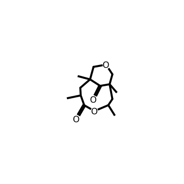 CC1CC2(C)COCC(C)(CC(C)C(=O)O1)C2=O